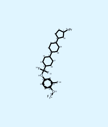 CCCC1CCC(C2CCC(C3CCC(C(F)(F)Oc4ccc(OC(F)(F)F)c(F)c4)CC3)CC2)C1